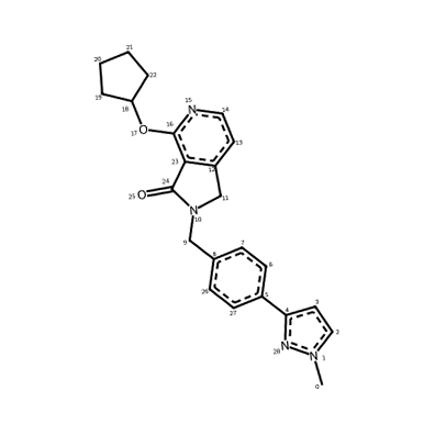 Cn1ccc(-c2ccc(CN3Cc4ccnc(OC5CCCC5)c4C3=O)cc2)n1